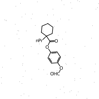 CCCC1(C(=O)Oc2ccc(OC=O)cc2)CCCCC1